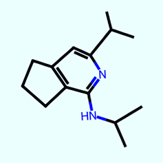 CC(C)Nc1nc(C(C)C)cc2c1CCC2